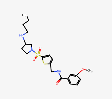 CCCCNC1CCN(S(=O)(=O)c2ccc(CNC(=O)c3cccc(OC)c3)s2)C1